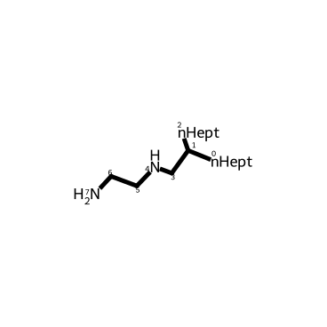 CCCCCCCC(CCCCCCC)CNCCN